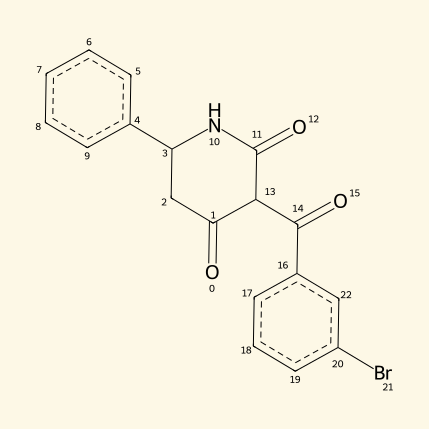 O=C1CC(c2ccccc2)NC(=O)C1C(=O)c1cccc(Br)c1